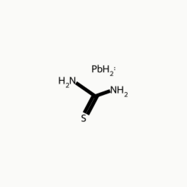 NC(N)=S.[PbH2]